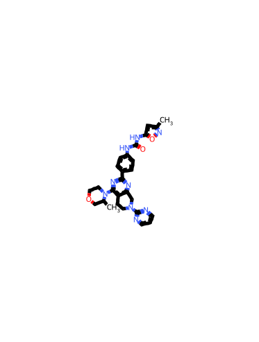 Cc1cc(NC(=O)Nc2ccc(-c3nc4c(c(N5CCOCC5C)n3)CCN(c3ncccn3)C4)cc2)on1